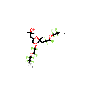 CC(C)(O)CC(COC(F)(F)C(F)OC(F)(F)C(F)(F)C(F)(F)F)OC(C)(C)CC(F)(F)C(F)OC(F)(F)C(F)(F)C(F)(F)F